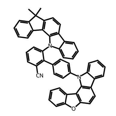 CC1(C)c2ccccc2-c2c1ccc1c3ccccc3n(-c3cccc(C#N)c3-c3ccc(-n4c5ccccc5c5ccc6oc7ccccc7c6c54)cc3)c21